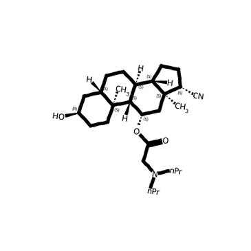 CCCN(CCC)CC(=O)O[C@H]1C[C@]2(C)[C@@H](C#N)CC[C@H]2[C@@H]2CC[C@H]3C[C@H](O)CC[C@]3(C)[C@H]21